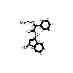 CO/N=C(\C(=O)OC1=CC(O)c2ccccc21)c1ccccc1